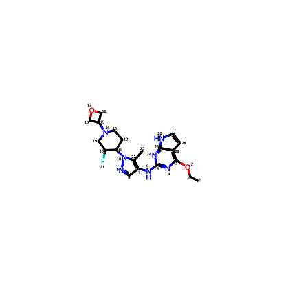 CCOc1nc(Nc2cnn(C3CCN(C4COC4)CC3F)c2C)nc2[nH]ccc12